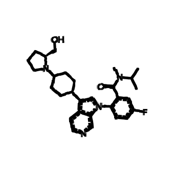 CC(C)N(C)C(=O)c1cc(F)ccc1-n1cc(C2CCC(N3CCC[C@H]3CO)CC2)c2ccncc21